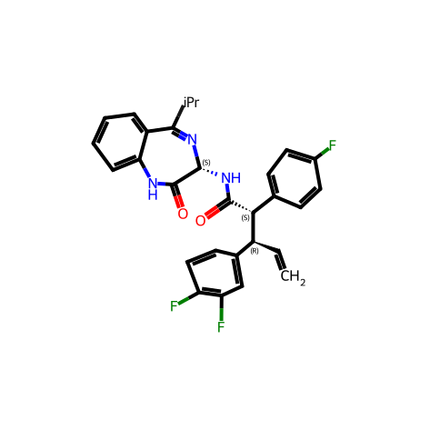 C=C[C@@H](c1ccc(F)c(F)c1)[C@H](C(=O)N[C@H]1N=C(C(C)C)c2ccccc2NC1=O)c1ccc(F)cc1